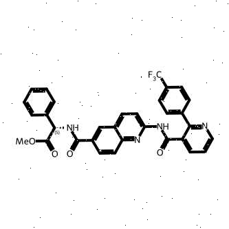 COC(=O)[C@@H](NC(=O)c1ccc2nc(NC(=O)c3cccnc3-c3ccc(C(F)(F)F)cc3)ccc2c1)c1ccccc1